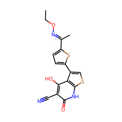 CCO/N=C(\C)c1ccc(-c2csc3[nH]c(=O)c(C#N)c(O)c23)s1